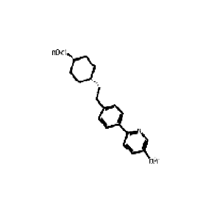 CCCCCCCC[C@H]1CC[C@H](CCc2ccc(-c3ccc(CCC)cn3)cc2)CC1